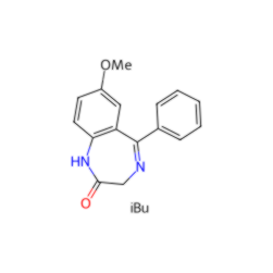 CC[C@H](C)C1N=C(c2ccccc2)c2cc(OC)ccc2NC1=O